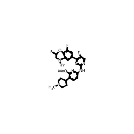 COc1nc(Nc2ncc(F)c(-c3cc(F)c4c(c3)N(C(C)C)CC(F)O4)n2)ccc1C1CCN(C)CC1